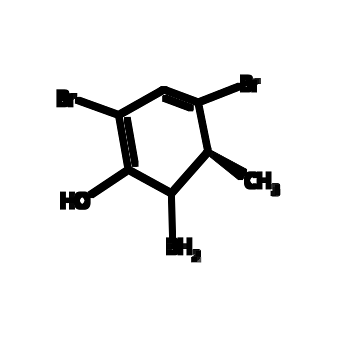 BC1C(O)=C(Br)C=C(Br)[C@H]1C